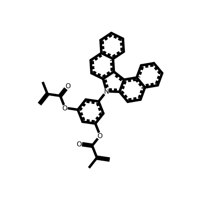 C=C(C)C(=O)Oc1cc(OC(=O)C(=C)C)cc(-n2c3ccc4ccccc4c3c3c4ccccc4ccc32)c1